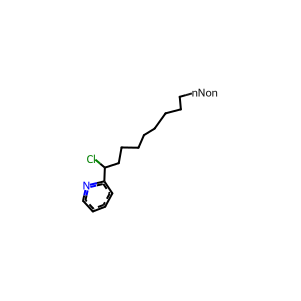 CCCCCCCCCCCCCCCCCC(Cl)c1ccccn1